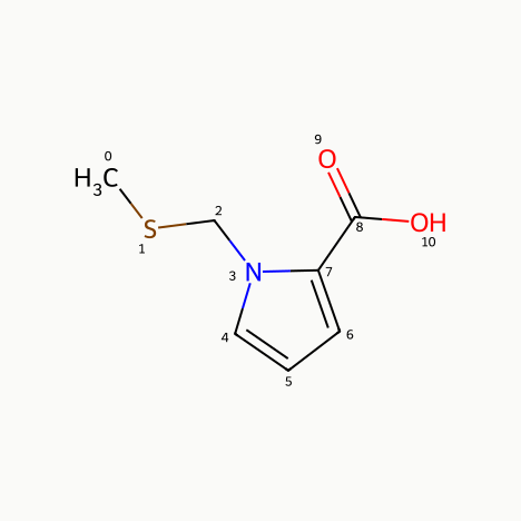 CSCn1cccc1C(=O)O